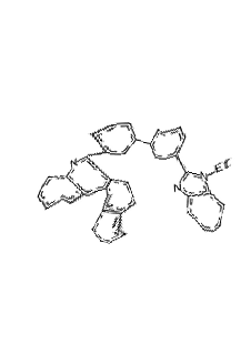 CCn1c(-c2cccc(-c3cccc(-c4nc5ccccc5c5c4ccc4ccccc45)c3)c2)nc2ccccc21